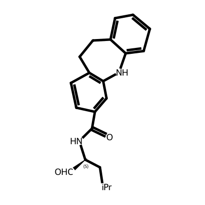 CC(C)C[C@@H](C=O)NC(=O)c1ccc2c(c1)Nc1ccccc1CC2